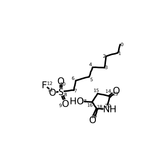 CCCCCCCCS(=O)(=O)OF.O=C1CC(O)C(=O)N1